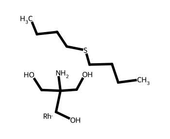 CCCCSCCCC.NC(CO)(CO)CO.[Rh]